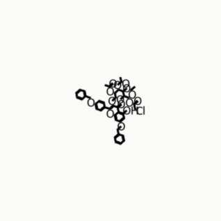 CC(=O)OC1C(COC(=O)CCl)OC(Oc2c(-c3ccc(OCc4ccccc4)cc3)oc3cc(OCc4ccccc4)cc(O)c3c2=O)C(OC(C)=O)C1OC(C)=O